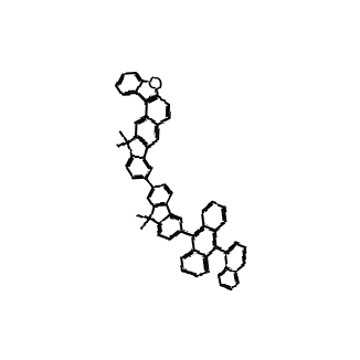 CC1(C)c2ccc(-c3c4ccccc4c(-c4cccc5ccccc45)c4ccccc34)cc2-c2ccc(-c3ccc4c(c3)-c3cc5ccc6oc7ccccc7c6c5cc3C4(C)C)cc21